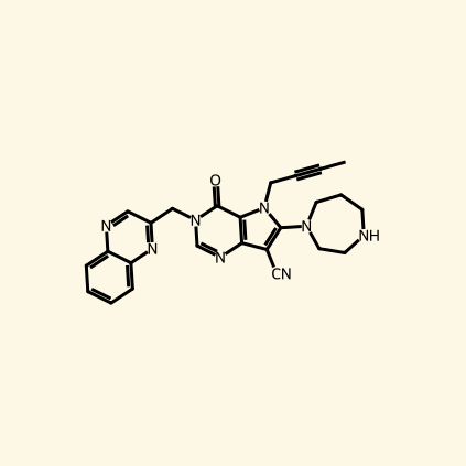 CC#CCn1c(N2CCCNCC2)c(C#N)c2ncn(Cc3cnc4ccccc4n3)c(=O)c21